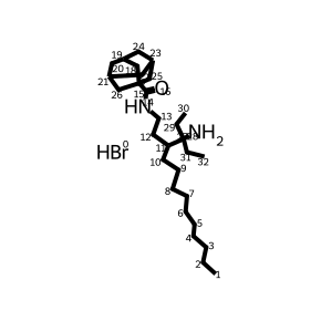 Br.CCCCCCCCCCC(CCNC(=O)C12CC3CC(CC(C3)C1)C2)C(N)(CC)CC